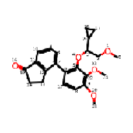 COCC(Oc1c(-c2cccc3c2CCC3=O)ccc(OC)c1OC)C1CC1